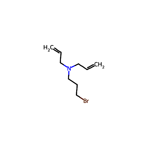 C=CCN(CC=C)CCCBr